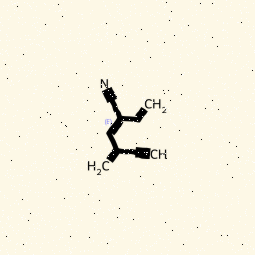 C#CC(=C)/C=C(/C#N)C=C